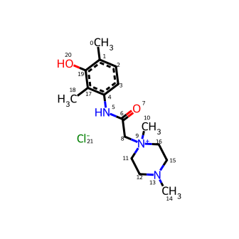 Cc1ccc(NC(=O)C[N+]2(C)CCN(C)CC2)c(C)c1O.[Cl-]